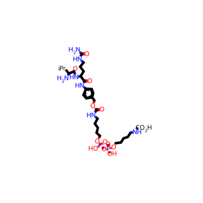 CC(C)C(N)C(=O)NC(CCCNC(N)=O)C(=O)Nc1ccc(COC(=O)NCCCCCOP(=O)(O)OP(=O)(O)OCCCCCNC(=O)O)cc1